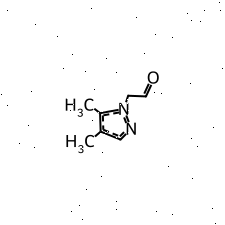 Cc1cnn(CC=O)c1C